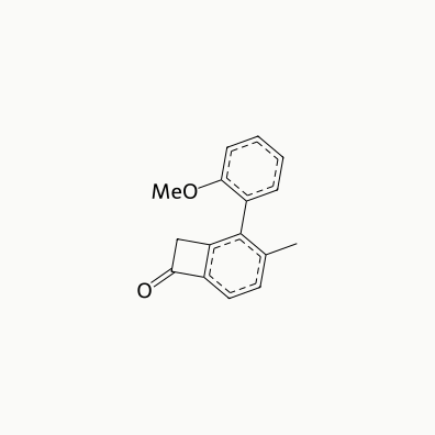 COc1ccccc1-c1c(C)ccc2c1CC2=O